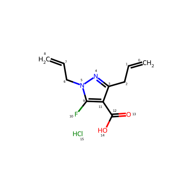 C=CCc1nn(CC=C)c(F)c1C(=O)O.Cl